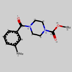 CNc1cccc(C(=O)N2CCN(C(=O)OC(C)(C)C)CC2)c1